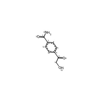 NC(=O)c1ccc(C(=O)CO)cc1